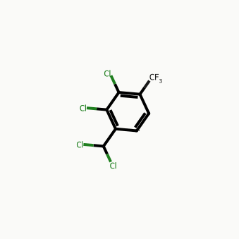 FC(F)(F)c1c[c]c(C(Cl)Cl)c(Cl)c1Cl